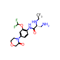 NC[C@@H](NCC(F)(F)F)C(=O)Nc1ccc(N2CCOCC2=O)cc1OC(F)F